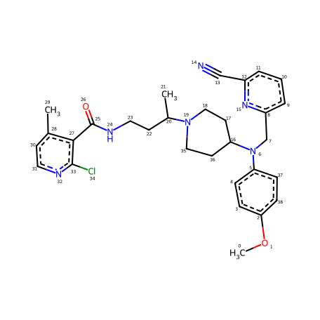 COc1ccc(N(Cc2cccc(C#N)n2)C2CCN(C(C)CCNC(=O)c3c(C)ccnc3Cl)CC2)cc1